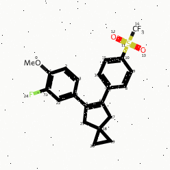 COc1ccc(C2=C(c3ccc(S(=O)(=O)C(F)(F)F)cc3)CC3(CC3)C2)cc1F